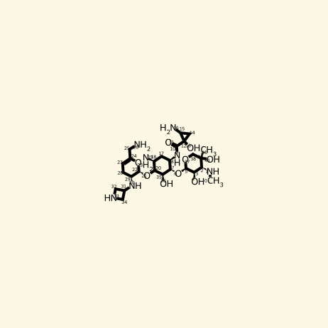 CN[C@@H]1[C@@H](O)[C@@H](O[C@H]2[C@H](NC(=O)C3(O)CC3N)C[C@H](N)C(O[C@H]3OC(CN)=CC[C@H]3NC3CNC3)[C@@H]2O)OC[C@]1(C)O